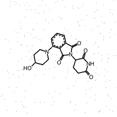 O=C1CCC(N2C(=O)c3cccc(N4CCC(O)CC4)c3C2=O)C(=O)N1